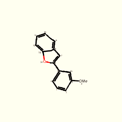 COc1cccc(-c2cc3ccccc3o2)c1